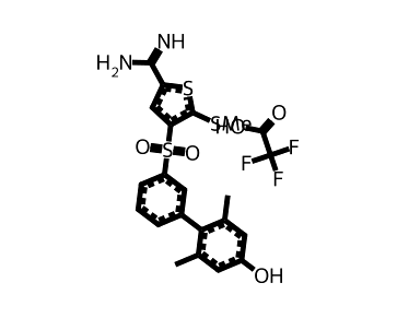 CSc1sc(C(=N)N)cc1S(=O)(=O)c1cccc(-c2c(C)cc(O)cc2C)c1.O=C(O)C(F)(F)F